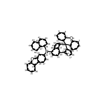 c1ccc2c(c1)Oc1ccccc1C21c2ccccc2-c2ccc(N(c3ccc4c(c3)oc3ccccc34)c3cccc4ccccc34)c3cccc1c23